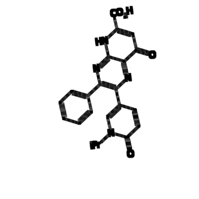 CC(C)n1cc(-c2nc3c(=O)cc(C(=O)O)[nH]c3nc2-c2ccccc2)ccc1=O